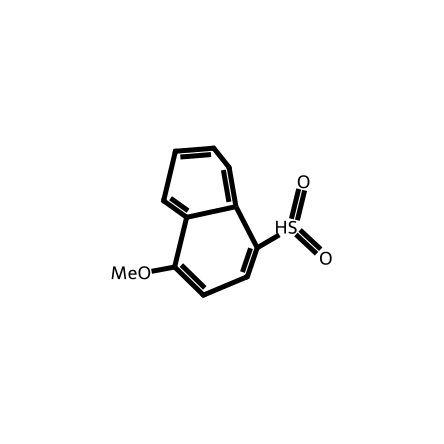 COc1ccc([SH](=O)=O)c2ccccc12